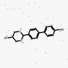 CCCCc1ccc(-c2ccc(C3OCC(CCC)CO3)cc2)cc1